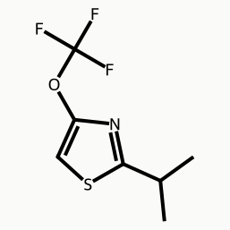 CC(C)c1nc(OC(F)(F)F)cs1